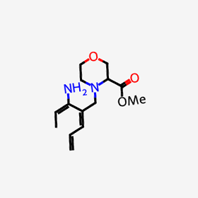 C=C/C=C(CN1CCOCC1C(=O)OC)\C(N)=C/C